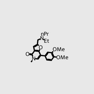 CCCN(CC)Cc1cc2c(=O)n(C)cc(-c3ccc(OC)c(OC)c3)c2o1